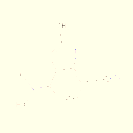 Cc1cc2c(N(C)C)ccc(C#N)c2[nH]1